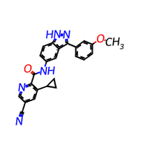 COc1cccc(-c2n[nH]c3ccc(NC(=O)c4ncc(C#N)cc4C4CC4)cc23)c1